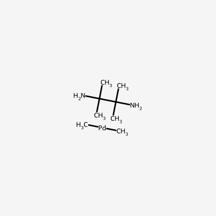 CC(C)(N)C(C)(C)N.[CH3][Pd][CH3]